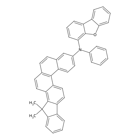 CC1(C)c2ccccc2-c2ccc3c(ccc4ccc5cc(N(c6ccccc6)c6cccc7c6oc6ccccc67)ccc5c43)c21